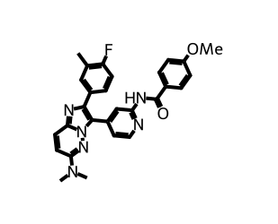 COc1ccc(C(=O)Nc2cc(-c3c(-c4ccc(F)c(C)c4)nc4ccc(N(C)C)nn34)ccn2)cc1